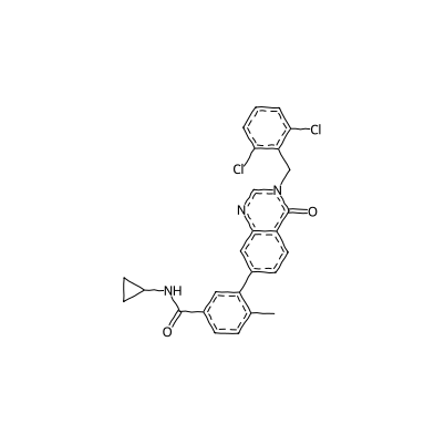 Cc1ccc(C(=O)NC2CC2)cc1-c1ccc2c(=O)n(Cc3c(Cl)cccc3Cl)cnc2c1